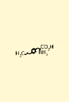 C=CCCc1ccc(CC(N)C(=O)O)cc1